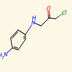 Nc1ccc(NCC(=O)CCl)cc1